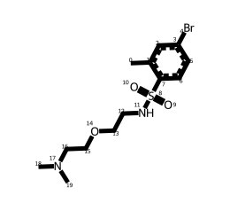 Cc1cc(Br)ccc1S(=O)(=O)NCCOCCN(C)C